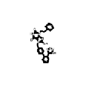 CCCc1nc2c(c(=O)[nH]c(=O)n2CCc2ccccc2)n1Cc1ccc(-c2ccccc2-c2nnn[nH]2)cc1